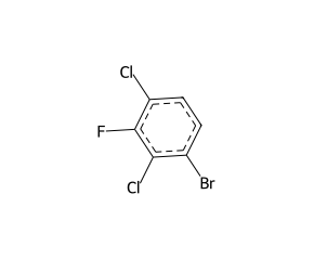 Fc1c(Cl)ccc(Br)c1Cl